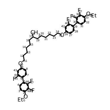 CCOc1ccc(-c2ccc(OCCCCCCC(C)CCCCCCOc3ccc(-c4ccc(OCC)c(F)c4F)c(F)c3)cc2F)c(F)c1F